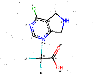 Clc1ncnc2c1CNC2.O=C(O)C(F)(F)F